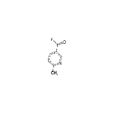 Cc1ccc(C(=O)F)cn1